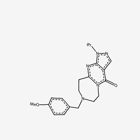 COc1ccc(CN2CCc3nc4c(cnn4C(C)C)c(=O)n3CC2)cc1